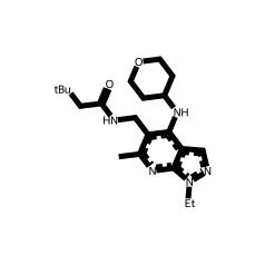 CCn1ncc2c(NC3CCOCC3)c(CNC(=O)CC(C)(C)C)c(C)nc21